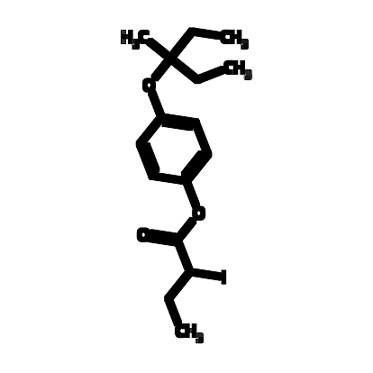 CCC(I)C(=O)Oc1ccc(OC(C)(CC)CC)cc1